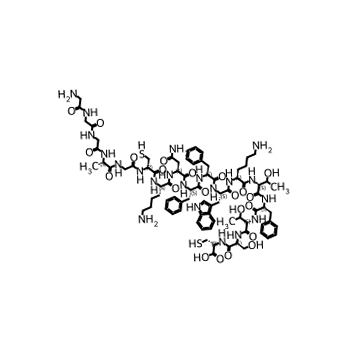 CC(O)[C@H](NC(=O)[C@H](Cc1ccccc1)NC(=O)[C@@H](NC(=O)[C@H](CCCCN)NC(=O)[C@H](Cc1c[nH]c2ccccc12)NC(=O)[C@H](Cc1ccccc1)NC(=O)[C@H](Cc1ccccc1)NC(=O)[C@H](CC(N)=O)NC(=O)[C@H](CCCCN)NC(=O)[C@H](CS)NC(=O)CNC(=O)[C@H](C)NC(=O)CNC(=O)CNC(=O)CN)C(C)O)C(=O)N[C@@H](CO)C(=O)N[C@@H](CS)C(=O)O